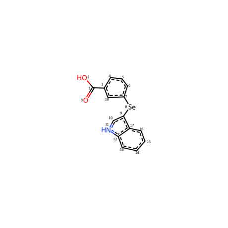 O=C(O)c1cccc([Se]c2c[nH]c3ccccc23)c1